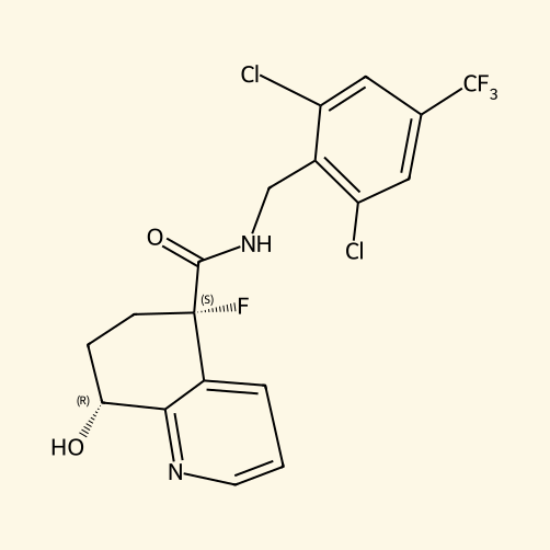 O=C(NCc1c(Cl)cc(C(F)(F)F)cc1Cl)[C@]1(F)CC[C@@H](O)c2ncccc21